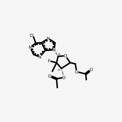 CC(=O)OCC1O[C@@H](n2cnc3c(Cl)ncnc32)C(C)(F)[C@H]1OC(C)=O